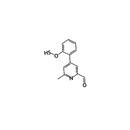 Cc1cc(-c2ccccc2OS)cc(C=O)n1